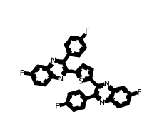 Fc1ccc(-c2nc3cc(F)ccc3nc2-c2ccc(-c3nc4cc(F)ccc4nc3-c3ccc(F)cc3)s2)cc1